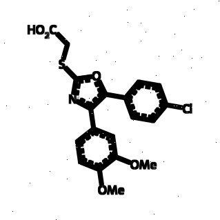 COc1ccc(-c2nc(SCC(=O)O)oc2-c2ccc(Cl)cc2)cc1OC